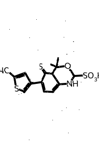 CC1(C)OC(S(=O)(=O)O)NC2=CC=C(c3csc(C#N)c3)C(=S)C21